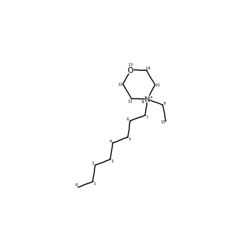 CCCCCCCC[N+]1(CC)CCOCC1